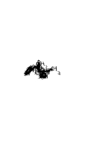 CCCCOC(=O)CNCC(C(=O)[C@H](C)N[C@@H](CCc1ccccc1)C(=O)OCC)c1ccccc1